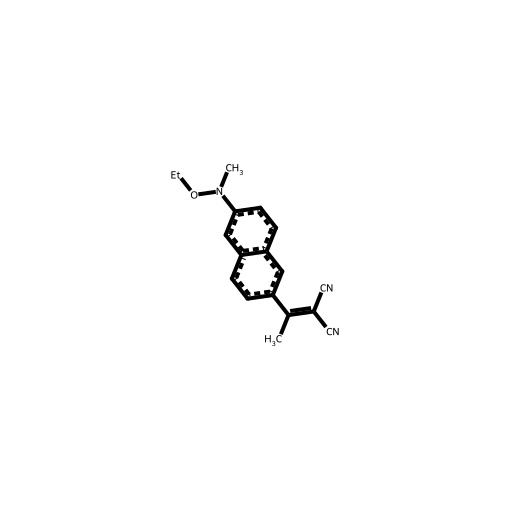 CCON(C)c1ccc2cc(C(C)=C(C#N)C#N)ccc2c1